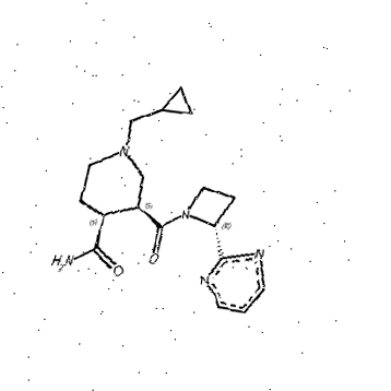 NC(=O)[C@H]1CCN(CC2CC2)C[C@H]1C(=O)N1CC[C@@H]1c1ncccn1